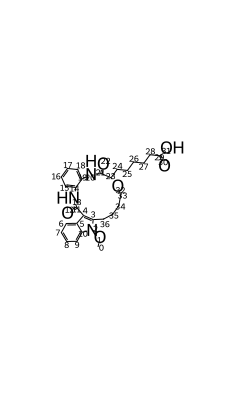 COn1c2c(c3ccccc31)C(=O)Nc1ccccc1NC(=O)C(CCCCCC(=O)O)OCCCC2